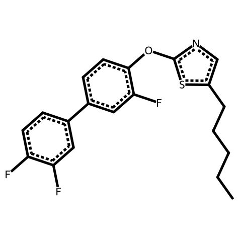 CCCCCc1cnc(Oc2ccc(-c3ccc(F)c(F)c3)cc2F)s1